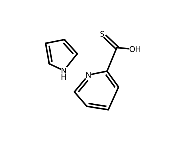 OC(=S)c1ccccn1.c1cc[nH]c1